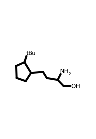 CC(C)(C)C1CCCC1CCC(N)CO